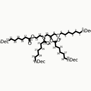 CCCCCCCCCCCCCCCCOCC(CN(CCOC(=O)CCCCCCCCCCCCCCC)C(=O)CCCCCCCCCCCCCCC)OC(=O)CCCCCCCCCCCCCCC